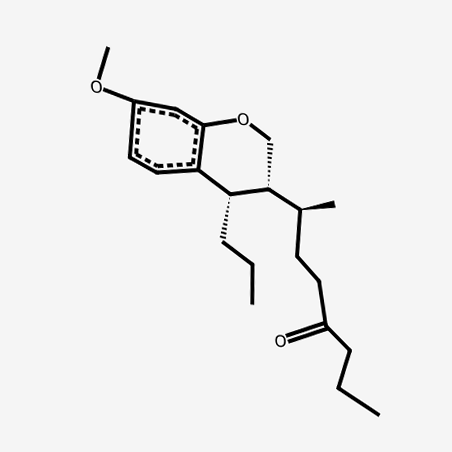 CCCC(=O)CC[C@H](C)[C@H]1COc2cc(OC)ccc2[C@H]1CCC